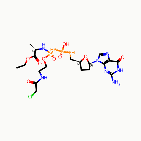 CCOC(=O)[C@H](C)NP(=O)(OCCNC(=O)CCl)PP(=O)(O)PC[C@@H]1CC[C@H](n2cnc3c(=O)[nH]c(N)nc32)O1